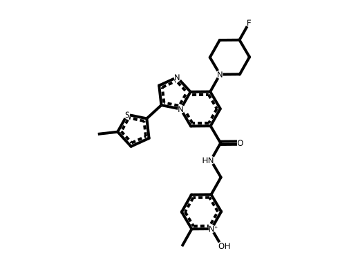 Cc1ccc(-c2cnc3c(N4CCC(F)CC4)cc(C(=O)NCc4ccc(C)[n+](O)c4)cn23)s1